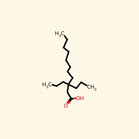 CCCCCCCCC(CCC)(CCC)CC(=O)O